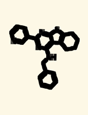 c1ccc(CNc2nc(-c3cccnc3)nc3sc4c(c23)CCCC4)cc1